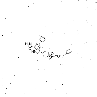 NC(=O)c1cc(-c2ccccc2)cc2c(C3CCN(S(=O)(=O)CCOCCc4ccsc4)CC3)c[nH]c12